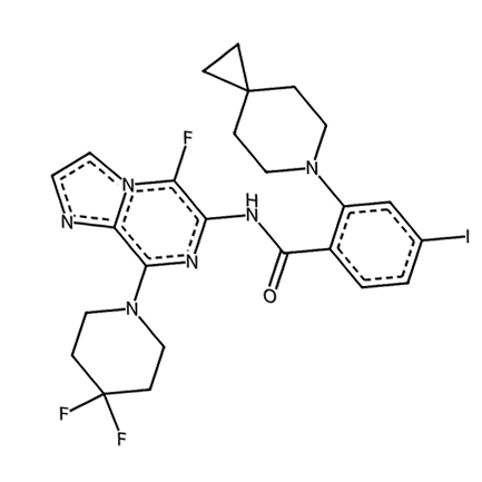 O=C(Nc1nc(N2CCC(F)(F)CC2)c2nccn2c1F)c1ccc(I)cc1N1CCC2(CC1)CC2